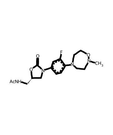 CC(=O)NC[C@H]1CN(c2ccc(N3CCON(C)CC3)c(F)c2)C(=O)O1